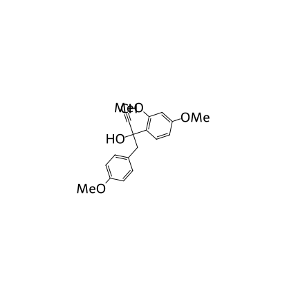 C#CC(O)(Cc1ccc(OC)cc1)c1ccc(OC)cc1OC